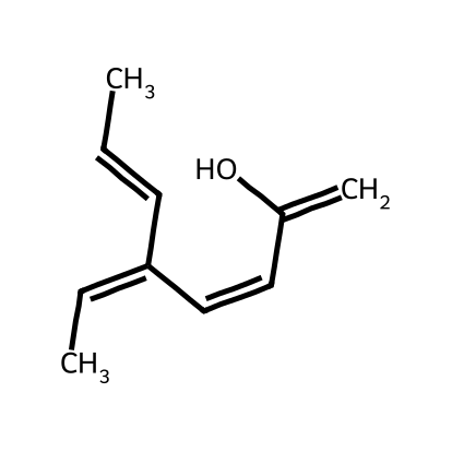 C=C(O)\C=C/C(=C\C)/C=C/C